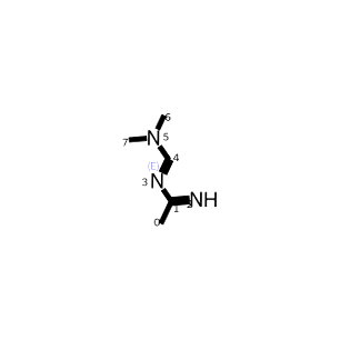 CC(=N)/N=C/N(C)C